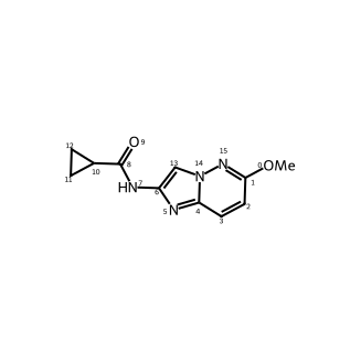 COc1ccc2nc(NC(=O)C3CC3)cn2n1